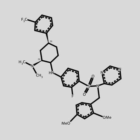 COc1ccc(CN(c2ccncn2)S(=O)(=O)c2ccc(NC3CC[C@H](c4cccc(C(F)(F)F)c4)C[C@@H]3N(C)C)cc2F)c(OC)c1